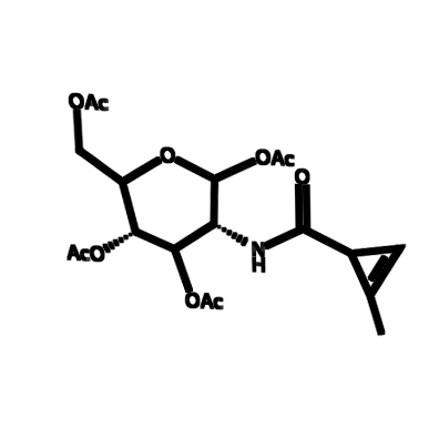 CC(=O)OCC1OC(OC(C)=O)[C@H](NC(=O)C2C=C2C)C(OC(C)=O)[C@@H]1OC(C)=O